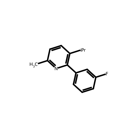 Cc1ccc(C(C)C)c(-c2cccc(F)c2)n1